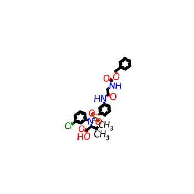 CC(C)C(C(=O)O)N(c1cccc(Cl)c1)S(=O)(=O)c1cccc(NC(=O)CNC(=O)OCc2ccccc2)c1